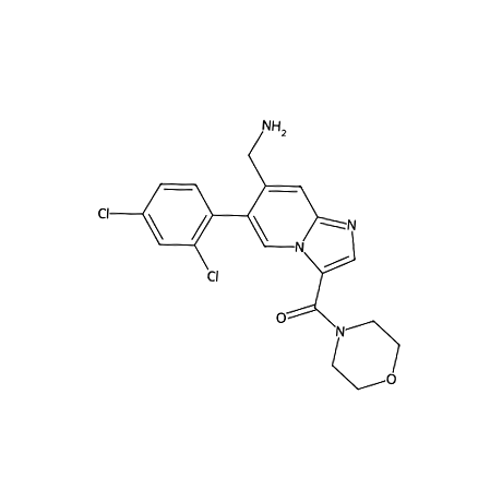 NCc1cc2ncc(C(=O)N3CCOCC3)n2cc1-c1ccc(Cl)cc1Cl